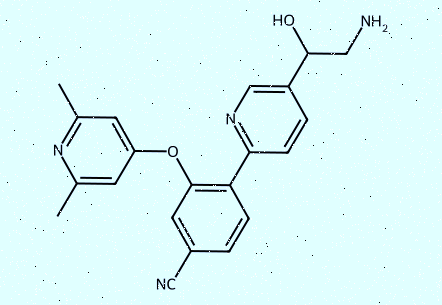 Cc1cc(Oc2cc(C#N)ccc2-c2ccc(C(O)CN)cn2)cc(C)n1